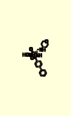 O=C(N[C@@H](CNC1CCOCC1)C(=O)NO)c1ccc(-c2ccccc2)cc1